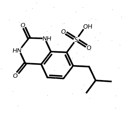 CC(C)Cc1ccc2c(=O)[nH]c(=O)[nH]c2c1S(=O)(=O)O